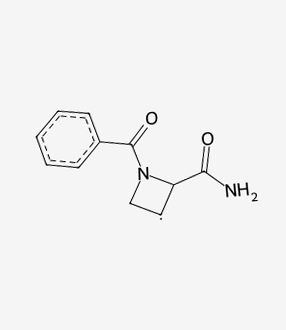 NC(=O)C1[CH]CN1C(=O)c1ccccc1